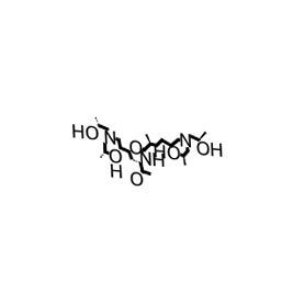 CC(=O)[C@H](CCCCN(C[C@@H](C)O)C[C@@H](C)O)NC(=O)[C@@H](C)CCCCN(C[C@@H](C)O)C[C@@H](C)O